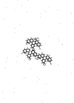 Cc1ccc2cccc(-c3ccc([O-])cc3-c3cccc4ccc(C)nc34)c2n1.Cc1ccc2cccc(-c3ccc([O-])cc3-c3cccc4ccc(C)nc34)c2n1.Cc1ccc2cccc(-c3ccc([O-])cc3-c3cccc4ccc(C)nc34)c2n1.[Al+3]